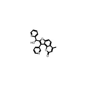 Cc1cc(=O)oc2c1ccc1oc(C(O)c3ccccn3)c(-c3cccnc3)c12